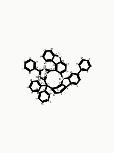 c1ccc(-c2ccc3c4ccc5cc4n(c3c2)-c2ccc3oc4ccccc4c3c2-c2nc(-c3ccccc3)nc(n2)C5(c2ccccc2)c2ccccc2)cc1